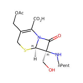 CCCCCN[C@]1(CO)C(=O)N2C(C(=O)O)=C(COC(C)=O)CS[C@@H]21